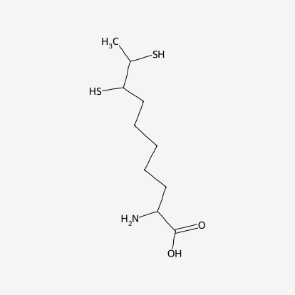 CC(S)C(S)CCCCCC(N)C(=O)O